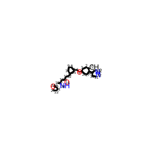 C=C1C=CC(OCc2cccc(CCC(=O)CC(=N)C[C@@H]3CCCO3)c2)=CC=C1c1ccnnc1